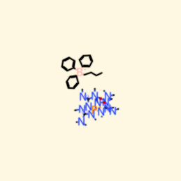 C/N=C(\N(C)C)N(C)[P+](N(C)/C(=N/C)N(C)C)(N(C)/C(=N/C)N(C)C)N(C)/C(=N/C)N(C)C.CCCC[B-](c1ccccc1)(c1ccccc1)c1ccccc1